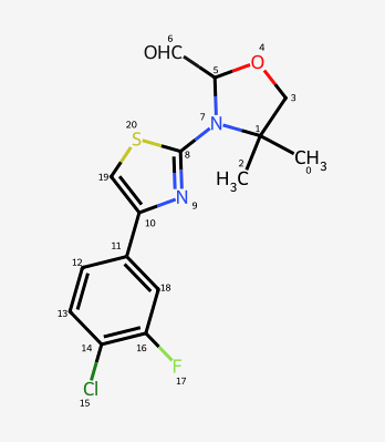 CC1(C)COC(C=O)N1c1nc(-c2ccc(Cl)c(F)c2)cs1